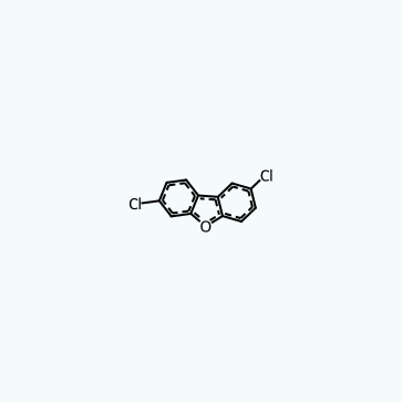 Clc1ccc2c(c1)oc1ccc(Cl)cc12